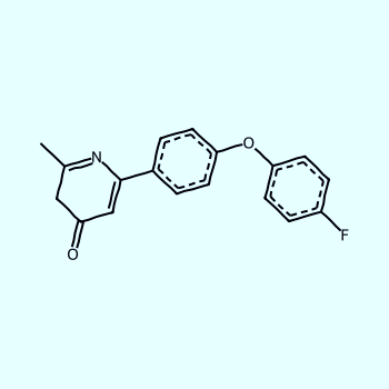 CC1=NC(c2ccc(Oc3ccc(F)cc3)cc2)=CC(=O)C1